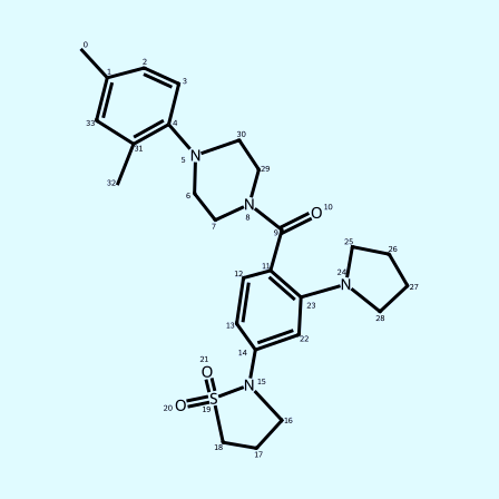 Cc1ccc(N2CCN(C(=O)c3ccc(N4CCCS4(=O)=O)cc3N3CCCC3)CC2)c(C)c1